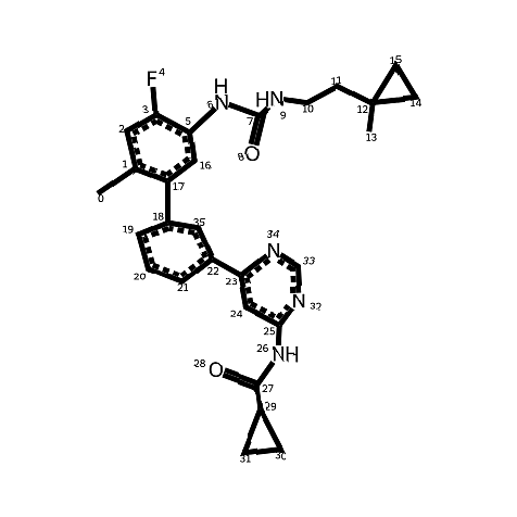 Cc1cc(F)c(NC(=O)NCCC2(C)CC2)cc1-c1cccc(-c2cc(NC(=O)C3CC3)ncn2)c1